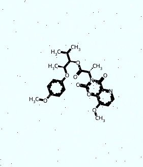 COc1ccc(O[C@@H](C)[C@H](OC(=O)[C@H](C)n2c(=O)oc3c(OC)ccnc3c2=O)C(C)C)cc1